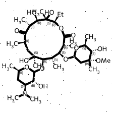 CC[C@H]1OC(=O)[C@H](C)[C@@H](OC2C[C@@](C)(OC)[C@@H](O)[C@H](C)O2)[C@H](C)[C@@H](OC2O[C@H](C)C[C@H](N(C)C)[C@H]2O)[C@@](C)(O)C[C@@H](C)C(=O)[C@H](C)[C@@H](O)[C@]1(C)O